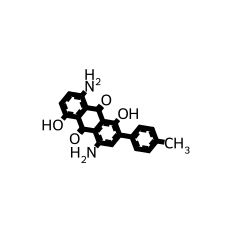 Cc1ccc(-c2cc(N)c3c(c2O)C(=O)c2c(N)ccc(O)c2C3=O)cc1